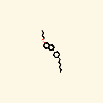 CCCCCC[C@H]1CC[C@H](c2ccc3cc(OCCCC)ccc3c2)CC1